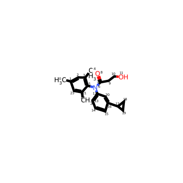 Cc1cc(C)c(N(C(=O)CCO)c2cccc(C3CC3)c2)c(C)c1